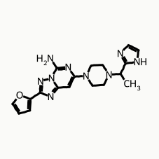 CC(c1ncc[nH]1)N1CCN(c2cc3nc(-c4ccco4)nn3c(N)n2)CC1